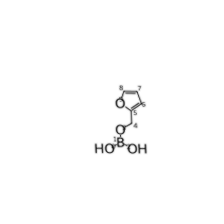 OB(O)OCc1ccco1